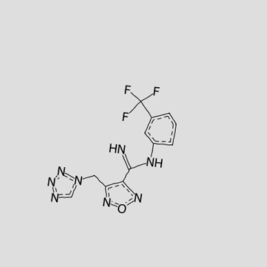 N=C(Nc1cccc(C(F)(F)F)c1)c1nonc1Cn1cnnn1